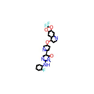 Cn1c(Nc2ccccc2F)ncc(-c2ccc(Oc3ccnc4cc5c(cc34)OC(F)(F)O5)cn2)c1=O